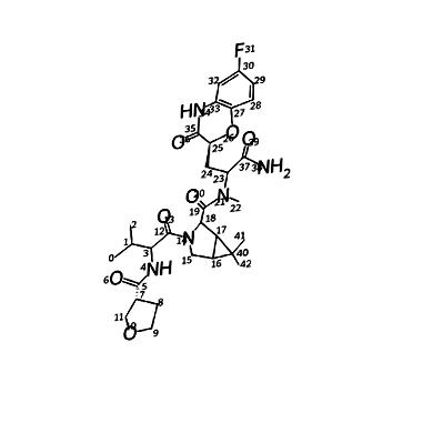 CC(C)C(NC(=O)[C@@H]1CCOC1)C(=O)N1CC2C(C1C(=O)N(C)C(C[C@@H]1Oc3ccc(F)cc3NC1=O)C(N)=O)C2(C)C